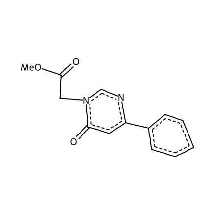 COC(=O)Cn1cnc(-c2ccccc2)cc1=O